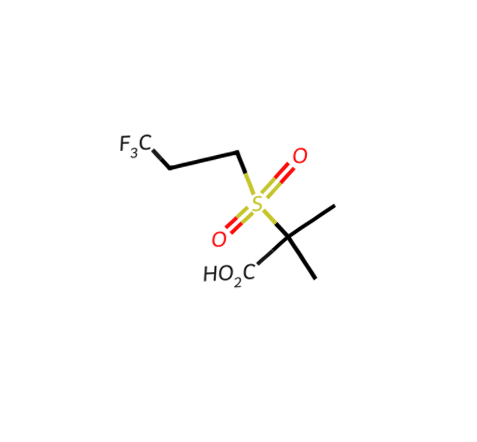 CC(C)(C(=O)O)S(=O)(=O)CCC(F)(F)F